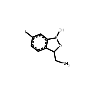 NCC1OB(O)c2cc(I)ccc21